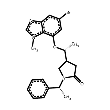 C[C@H](c1ccccc1)N1CC([C@@H](C)Oc2cc(Br)cc3ncn(C)c23)CC1=O